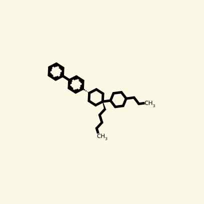 CCCCC[C@]1(C2CCC(CCC)CC2)CC[C@@H](c2ccc(-c3ccccc3)cc2)CC1